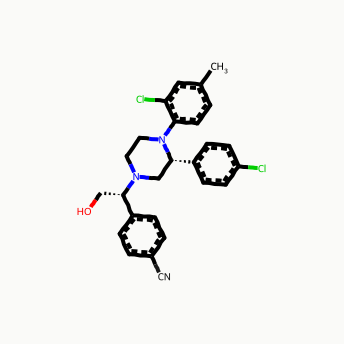 Cc1ccc(N2CCN([C@@H](CO)c3ccc(C#N)cc3)C[C@H]2c2ccc(Cl)cc2)c(Cl)c1